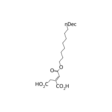 CCCCCCCCCCCCCCCCCCOC(=O)C=C(CC(=O)O)C(=O)O